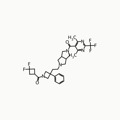 Cc1nc(C(F)(F)F)nc(C)c1C(=O)N1CC2CN(CCC3(c4ccccc4)CN(C(=O)C4CC(F)(F)C4)C3)CC2C1